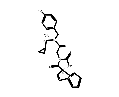 C[C@@H](C1CC1)N(Cc1ccc(O)nc1)C(=O)CN1C(=O)N[C@]2(C=Cc3ccccc32)C1=O